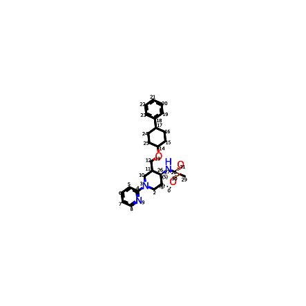 C[C@@H]1CN(c2ccccn2)CC(COC2CCC(c3ccccc3)CC2)[C@H]1NS(C)(=O)=O